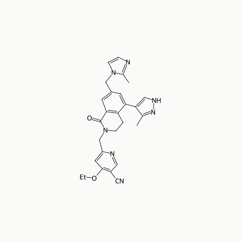 CCOc1cc(CN2CCc3c(cc(Cn4ccnc4C)cc3-c3c[nH]nc3C)C2=O)ncc1C#N